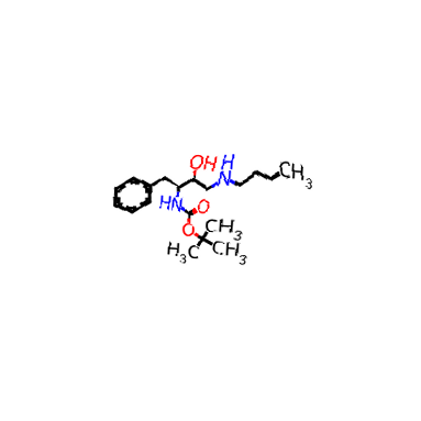 CCCCNC[C@H](O)[C@H](Cc1ccccc1)NC(=O)OC(C)(C)C